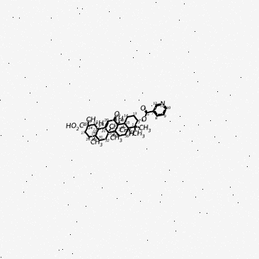 CC1(C)[C@@H](OC(=O)c2cccnc2)CC[C@]2(C)[C@H]3C(=O)C=C4[C@@H]5C[C@@](C)(C(=O)O)CC[C@]5(C)CC[C@@]4(C)[C@]3(C)CC[C@@H]12